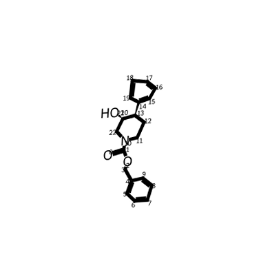 O=C(OCc1ccccc1)N1CC[C@H](c2ccccc2)[C@@H](O)C1